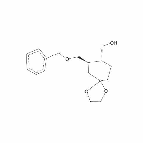 OC[C@@H]1CCC2(C[C@H]1COCc1ccccc1)OCCO2